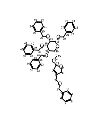 C1=C(COCc2ccccc2)COC1OC[C@H]1O[C@@H](OCc2ccccc2)[C@H](OCc2ccccc2)[C@@H](OCc2ccccc2)[C@@H]1OCc1ccccc1